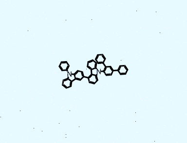 c1ccc(-c2ccc(-n3c4ccccc4c4c(-c5ccc6c(c5)c5ccccc5n6-c5ccccc5)cccc43)c(-c3ccccc3)c2)cc1